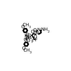 COc1ccc(OSP(=O)(OC[C@@]2(C(F)F)O[C@@H](n3ccc(N)nc3=O)[C@H](O)[C@@H]2O)Oc2ccc(OC)cc2)cc1